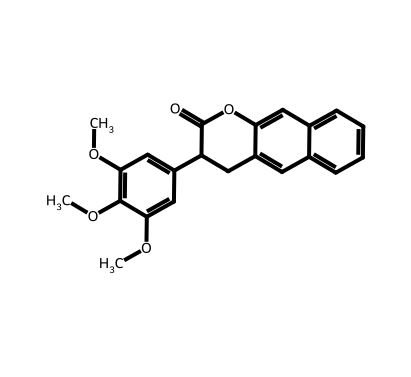 COc1cc(C2Cc3cc4ccccc4cc3OC2=O)cc(OC)c1OC